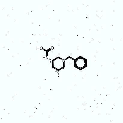 C[C@@H]1C[C@H](NC(=O)O)CN(Cc2ccccc2)C1